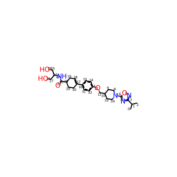 CC(C)c1noc(N2CCC(COc3ccc(C4=CCC(C(=O)NC(CO)CO)CC4)cc3)CC2)n1